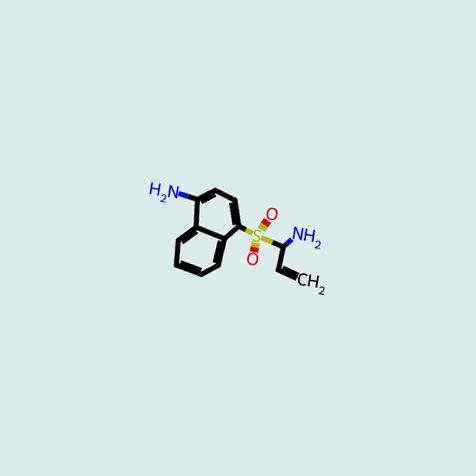 C=CC(N)S(=O)(=O)c1ccc(N)c2ccccc12